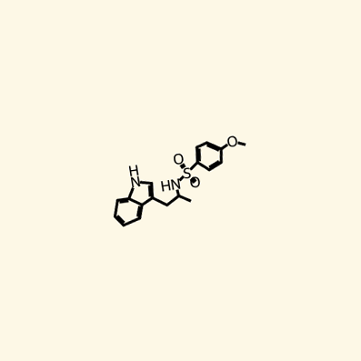 COc1ccc(S(=O)(=O)NC(C)Cc2c[nH]c3ccccc23)cc1